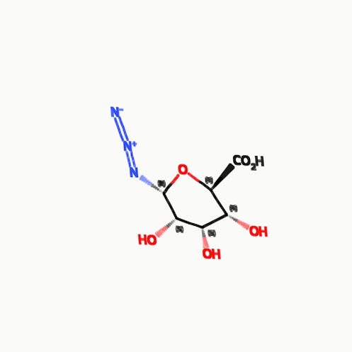 [N-]=[N+]=N[C@@H]1O[C@@H](C(=O)O)[C@H](O)[C@H](O)[C@@H]1O